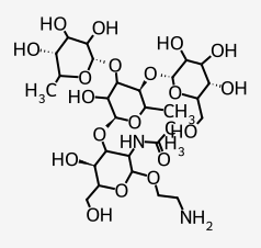 CC(=O)NC1C(OCCN)OC(CO)[C@@H](O)C1O[C@@H]1OC(C)[C@H](O[C@H]2OC(CO)[C@@H](O)C(O)C2O)C(O[C@@H]2OC(C)[C@H](O)C(O)C2O)C1O